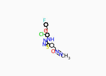 CN1CCN(C(=O)CC2CCc3c(sc4ncnc(Nc5ccc(OCc6ccc(F)cc6)c(Cl)c5)c34)C2)CC1